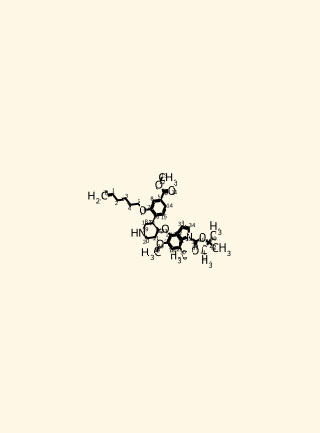 C=CCCCCOc1cc(C(=O)OC)ccc1[C@@H]1CNCC[C@H]1Oc1c(OC)cc(C)c2c1ccn2C(=O)OC(C)(C)C